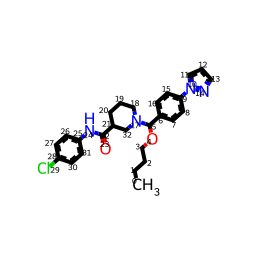 CCCCOC(c1ccc(-n2cccn2)cc1)N1CCCC(C(=O)Nc2ccc(Cl)cc2)C1